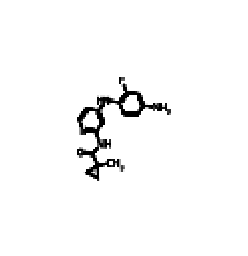 CC1(C(=O)Nc2cc(Nc3ccc(N)cc3F)ccn2)CC1